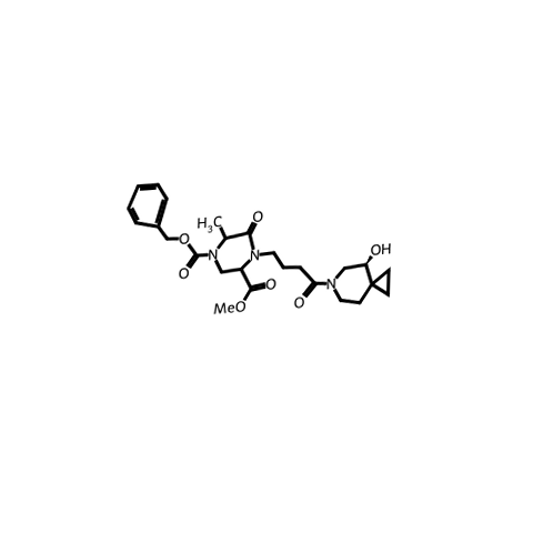 COC(=O)C1CN(C(=O)OCc2ccccc2)C(C)C(=O)N1CCCC(=O)N1CCC2(CC2)[C@H](O)C1